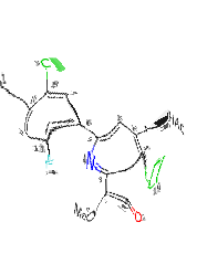 COC(=O)c1nc(-c2cc(Cl)c(C)cc2F)cc(NC(C)=O)c1Cl